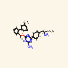 Cc1cccc(-c2ccccc2C(Oc2nc(N)nc(-c3ccc(CC(N)C(=O)O)cc3)n2)C(F)(F)F)c1